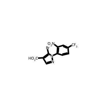 O=C(O)c1cnn(-c2ccc(C(F)(F)F)cc2[N+](=O)[O-])c1Br